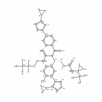 CC(C)(CCNC(=N)N(C(=O)c1ccc(-c2cnn(C3CC3)n2)cc1)[C@H](COC(=O)NC1(C(F)(F)F)CC1)c1ccc(Cl)c(-c2ncnn2C2CC2)c1)C(F)(F)F